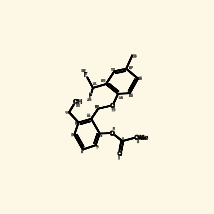 COC(=O)Oc1cccc(CO)c1COc1ccc(C)cc1C(F)F